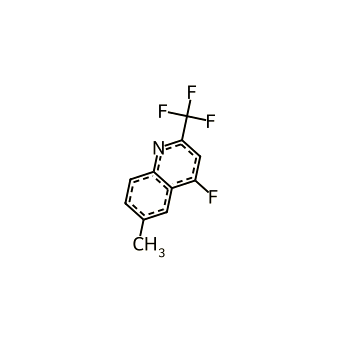 Cc1ccc2nc(C(F)(F)F)cc(F)c2c1